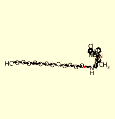 C#CCOCCOCCOCCOCCOCCOCCOCCOCCOCCOCCOCCOCCCCN[C@H]1CCN(c2nc3cc([C@@H]4CCCCN4C(=O)c4cc(Cl)ccc4N)nn3cc2C)C1